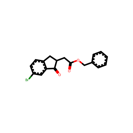 O=C(CC1Cc2ccc(Br)cc2C1=O)OCc1ccccc1